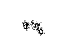 CN(C)C=C(C(=O)COC12CC3CC(CC(C3)C1)C2)C(=O)OCc1ccccc1